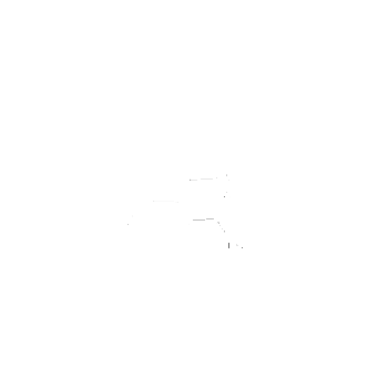 COc1ccc(Br)cc1[CH2][Zn+].[Cl-]